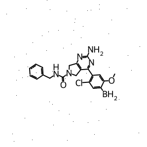 Bc1cc(Cl)c(-c2nc(N)nc3c2CN(C(=O)NCc2ccccc2)C3)cc1OC